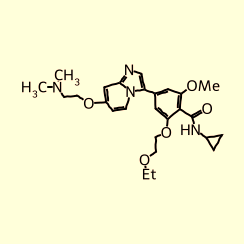 CCOCCOc1cc(-c2cnc3cc(OCCN(C)C)ccn23)cc(OC)c1C(=O)NC1CC1